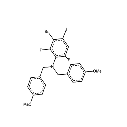 COc1ccc(CN(Cc2ccc(OC)cc2)c2c(F)cc(I)c(Br)c2F)cc1